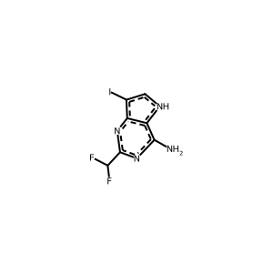 Nc1nc(C(F)F)nc2c(I)c[nH]c12